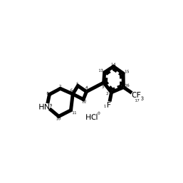 Cl.Fc1c(C2CC3(CCNCC3)C2)cccc1C(F)(F)F